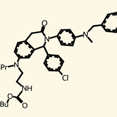 CC(C)N(CCNC(=O)OC(C)(C)C)c1ccc2c(c1)C(c1ccc(Cl)cc1)N(c1ccc(N(C)Cc3ccncc3)cc1)C(=O)C2